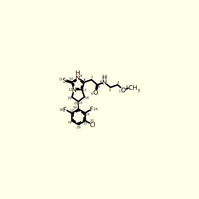 COCCNC(=O)Cc1[nH]c(=S)n2c1C[C@@H](c1c(F)ccc(Cl)c1F)C2